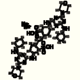 O=S(=O)(O)c1cc(Nc2nc(Nc3ccccc3)nc(N3CCOCC3)n2)ccc1C=Cc1ccc(Nc2nc(Nc3ccccc3)nc(N3CCOCC3)n2)cc1S(=O)(=O)O.[Na].[Na]